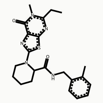 CCc1nc2sc(N3CCCCC3C(=O)NCc3ccccc3C)nc2c(=O)n1C